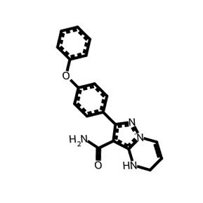 NC(=O)c1c(-c2ccc(Oc3ccccc3)cc2)nn2c1NCC=C2